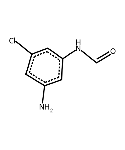 Nc1cc(Cl)cc(NC=O)c1